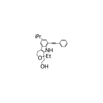 CCC1(CCO)OCCc2c1[nH]c1c(C#Cc3ccccc3)cc(C(C)C)cc21